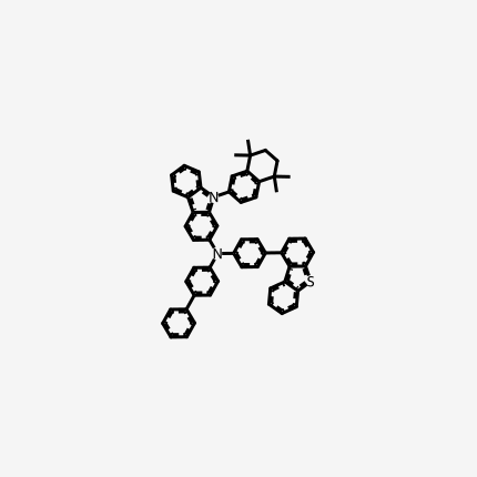 CC1(C)CCC(C)(C)c2cc(-n3c4ccccc4c4ccc(N(c5ccc(-c6ccccc6)cc5)c5ccc(-c6cccc7sc8ccccc8c67)cc5)cc43)ccc21